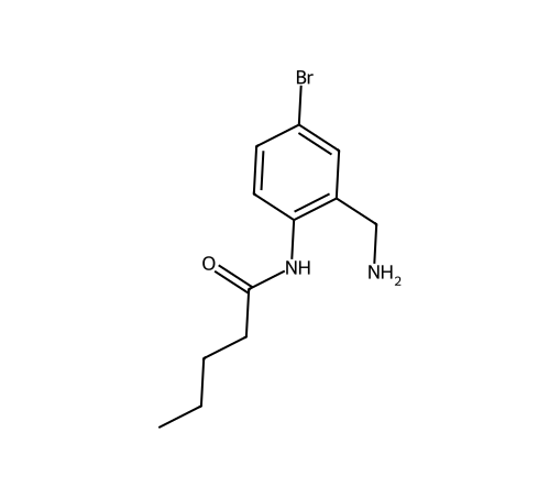 CCCCC(=O)Nc1ccc(Br)cc1CN